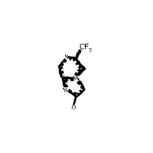 CCc1cn2cc(C(F)(F)F)ncc2n1